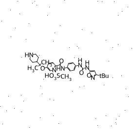 CC(C)(C)c1cc(NC(=O)Nc2ccc(NC(=O)c3ccc(OC(C)(C)C4CCNCC4)cn3)cc2)on1.CS(=O)(=O)O